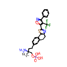 CC(N)(CCc1ccc2c(c1)CCc1nc(-c3onc(-c4ccccc4)c3C(F)(F)F)sc1-2)COP(=O)(O)O